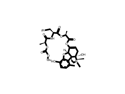 Cc1ccc(O)c2c1[C@]13CCN(C)[C@H](C)[C@]1(O)CC=C(OC(=O)[C@H](C)OC(=O)[C@H](CC(C)C)NC(=O)[C@H](C)OC(=O)OC(C)(C)C)[C@@H]3O2